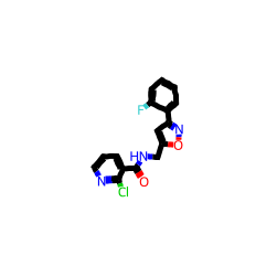 O=C(NCc1cc(-c2ccccc2F)no1)c1cccnc1Cl